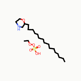 CCCCCCCCCCCCCCCCC1CNCCO1.CCOOS(=O)(=O)O